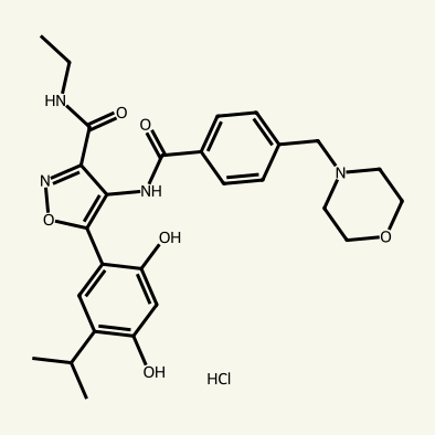 CCNC(=O)c1noc(-c2cc(C(C)C)c(O)cc2O)c1NC(=O)c1ccc(CN2CCOCC2)cc1.Cl